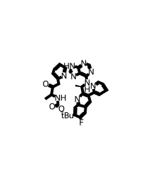 CC(NC(=O)OC(C)(C)C)C(=O)Cc1ccccn1.C[C@@H](Nc1ncnc2[nH]cnc12)c1nc2ccc(F)cc2cc1-c1ccccn1